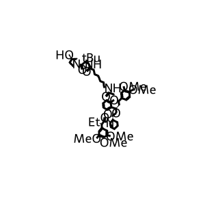 CC[C@H](C(=O)N1CCCC[C@H]1C(=O)O[C@H](CCc1ccc(OC)c(OC)c1)c1ccccc1OCC(=O)NCCCCCCC(=O)N[C@H](C(=O)N1CC[C@@H](O)C1)C(C)(C)C)c1cc(OC)c(OC)c(OC)c1